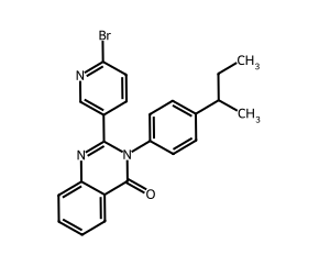 CCC(C)c1ccc(-n2c(-c3ccc(Br)nc3)nc3ccccc3c2=O)cc1